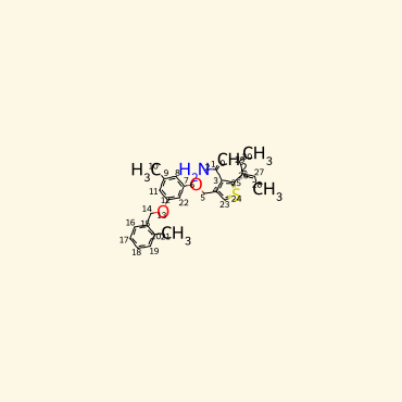 C=C(N)c1c(COc2cc(C)cc(OCc3ccccc3C)c2)csc1/C(=C\C)CC